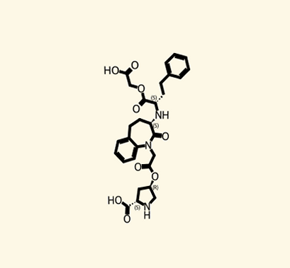 O=C(O)COC(=O)[C@H](CCc1ccccc1)N[C@H]1CCc2ccccc2N(CC(=O)O[C@H]2CN[C@H](C(=O)O)C2)C1=O